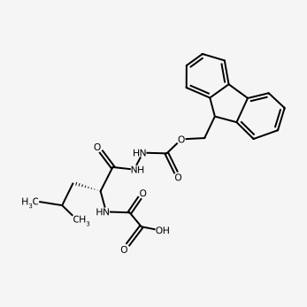 CC(C)C[C@@H](NC(=O)C(=O)O)C(=O)NNC(=O)OCC1c2ccccc2-c2ccccc21